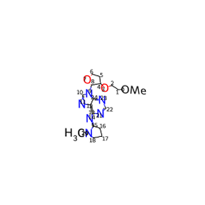 COCCOC1CCOC1n1cnc2c(/N=C3\CCCN3C)ncnc21